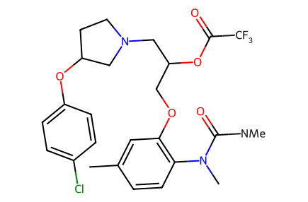 CNC(=O)N(C)c1ccc(C)cc1OCC(CN1CCC(Oc2ccc(Cl)cc2)C1)OC(=O)C(F)(F)F